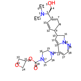 CCN(CC)[C@@H](CO)C1=CCC(C2C=C3C(N4CCN(C(=O)OC5COC5)CC4)=CC=NN3C2)C=C1